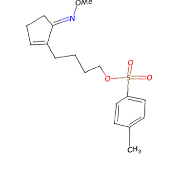 CON=C1CCC=C1CCCCOS(=O)(=O)c1ccc(C)cc1